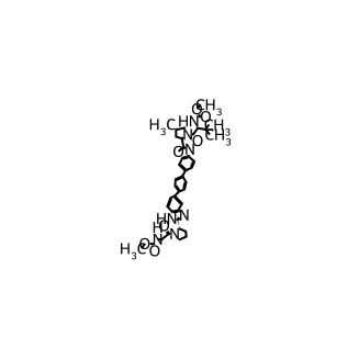 COC(=O)NCC(=O)N1CCC[C@H]1c1nc2cc(-c3ccc(-c4ccc5nc(C6C[C@H](C)CN6C(=O)[C@@H](NC(=O)OC)C(C)C)oc5c4)cc3)ccc2[nH]1